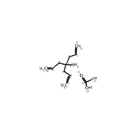 C=CCC(N)(CC=C)CC=C.O=C(O)O